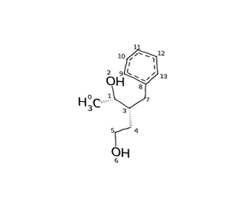 C[C@H](O)[C@@H](CCO)Cc1ccccc1